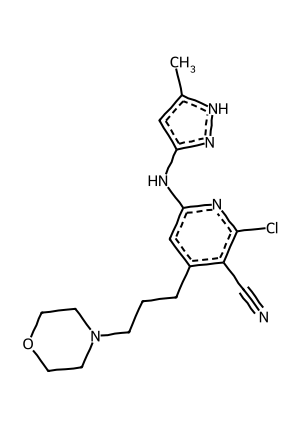 Cc1cc(Nc2cc(CCCN3CCOCC3)c(C#N)c(Cl)n2)n[nH]1